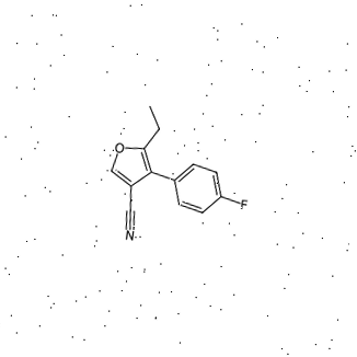 CCc1o[c]c(C#N)c1-c1ccc(F)cc1